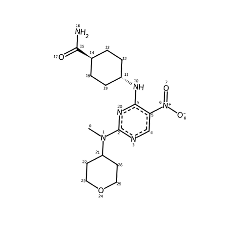 CN(c1ncc([N+](=O)[O-])c(N[C@H]2CC[C@H](C(N)=O)CC2)n1)C1CCOCC1